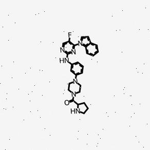 O=C(C1CCCN1)N1CCN(c2cccc(Nc3ncc(F)c(-n4ccc5ccccc54)n3)c2)CC1